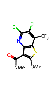 CNC(=O)c1c(OC)sc2c(C(F)(F)F)c(Cl)c(Cl)nc12